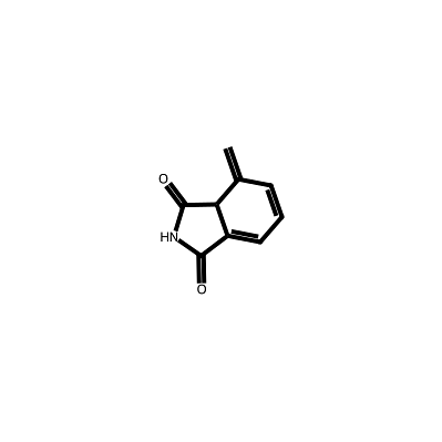 C=C1C=CC=C2C(=O)NC(=O)C12